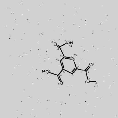 COC(=O)c1cc(C(=O)O)cc(C(=O)O)n1